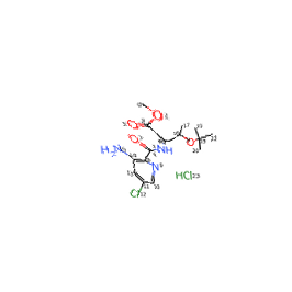 COC(=O)[C@@H](NC(=O)c1ncc(Cl)cc1N)C(C)OC(C)(C)C.Cl